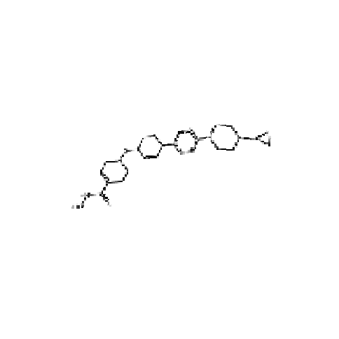 O=C(NO)C1=CCN(SC2C=CC(c3ccc(N4CCN(C5CC5)CC4)cc3)CC2)CC1